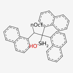 CCCCCCCCC(c1cccc2ccccc12)C([SiH2]O)(c1cccc2ccccc12)c1cccc2ccccc12